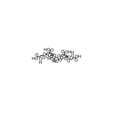 O=C(CC(O)C(=O)O)OC(=O)CC(O)(CC(=O)OC(C(=O)O)C(OC(=O)CC(O)(CC(=O)OC(=O)CC(O)C(=O)O)C(=O)O)C(=O)O)C(=O)O